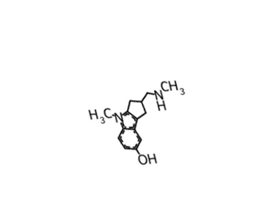 CNCC1Cc2c(n(C)c3ccc(O)cc23)C1